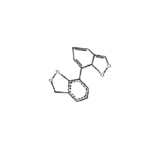 C1=CC2=COOC2C(c2cccc3c2OOC3)=C1